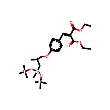 CCOC(=O)C(=Cc1ccc(OCC(C)C[Si](C)(O[Si](C)(C)C)O[Si](C)(C)C)cc1)C(=O)OCC